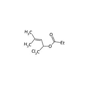 CCC(=O)OC(C=C(C)C)C(Cl)(Cl)Cl